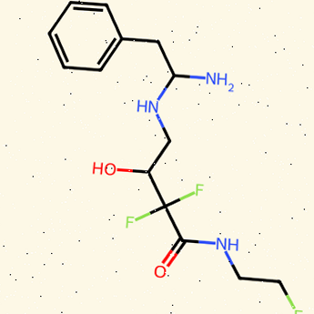 NC(Cc1ccccc1)NCC(O)C(F)(F)C(=O)NCCF